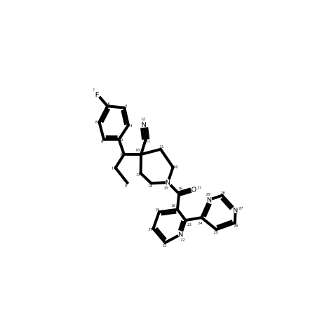 CCC(c1ccc(F)cc1)C1(C#N)CCN(C(=O)c2cccnc2-c2ccncn2)CC1